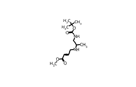 COC(=O)/C=C/CNC(C)CNC(=O)OC(C)(C)C